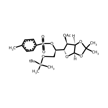 CC(=O)O[C@H]1[C@H]2OC(C)(C)O[C@H]2O[C@@H]1[C@@H](CO[Si](C)(C)C(C)(C)C)OS(=O)(=O)c1ccc(C)cc1